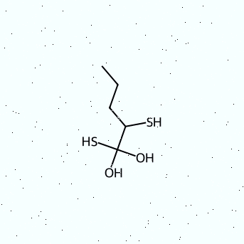 CCCC(S)C(O)(O)S